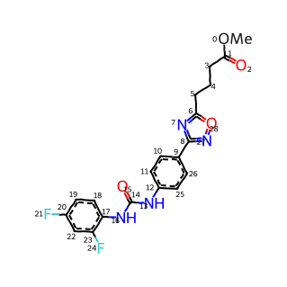 COC(=O)CCCc1nc(-c2ccc(NC(=O)Nc3ccc(F)cc3F)cc2)no1